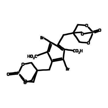 O=C(O)c1c(Br)c(CC23COP(=O)(OC2)OC3)c(C(=O)O)c(Br)c1CC12COP(=O)(OC1)OC2